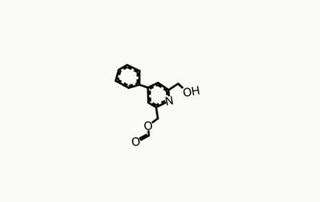 O=COCc1cc(-c2ccccc2)cc(CO)n1